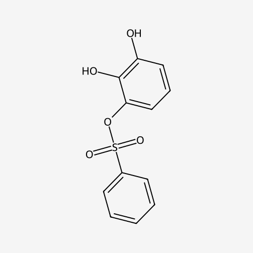 O=S(=O)(Oc1cccc(O)c1O)c1ccccc1